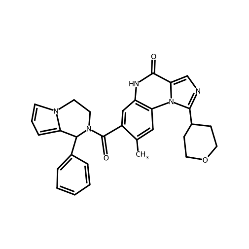 Cc1cc2c(cc1C(=O)N1CCn3cccc3C1c1ccccc1)[nH]c(=O)c1cnc(C3CCOCC3)n12